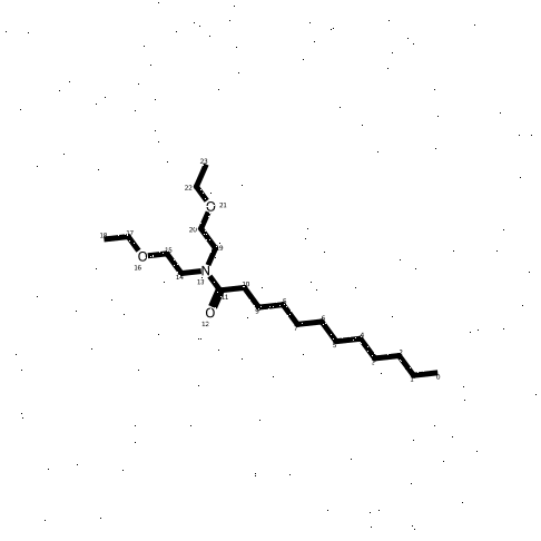 CCCCCCCCCCCC(=O)N(CCOCC)CCOCC